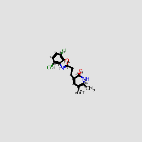 CCCc1cc(CCc2nc3c(Cl)ccc(Cl)c3o2)c(=O)[nH]c1C